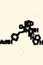 CCCn1c(=O)c2[nH]c([C@@H]3CC[C@H]4CCC[C@H]43)nc2n(CCc2ccc(NC(C)=O)cc2)c1=O